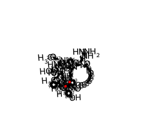 CC[C@H](C)[C@H](NC(=O)[C@H](CC(=O)O)NC(=O)[C@H](CCOC)NC(=O)[C@@H]1CCCN1C(=O)[C@@H]1CSCc2cc(CSC)cc(c2)OCCCCCCO/N=C/C(=O)N[C@@H](CCCNC(=N)N)C(=O)N1)C(=O)N[C@@H](Cc1c[nH]c2ccccc12)C(=O)N[C@@H](Cc1ccc(O)cc1)C(=O)NCC=O